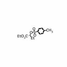 CCOC(=O)[C@@H](CC)OS(=O)(=O)c1ccc(C)cc1